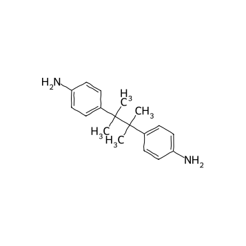 CC(C)(c1ccc(N)cc1)C(C)(C)c1ccc(N)cc1